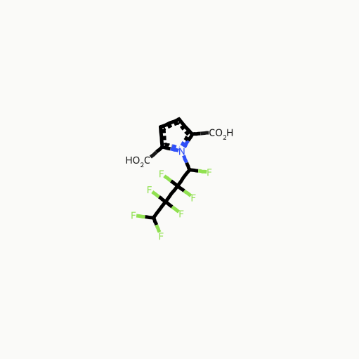 O=C(O)c1ccc(C(=O)O)n1C(F)C(F)(F)C(F)(F)C(F)F